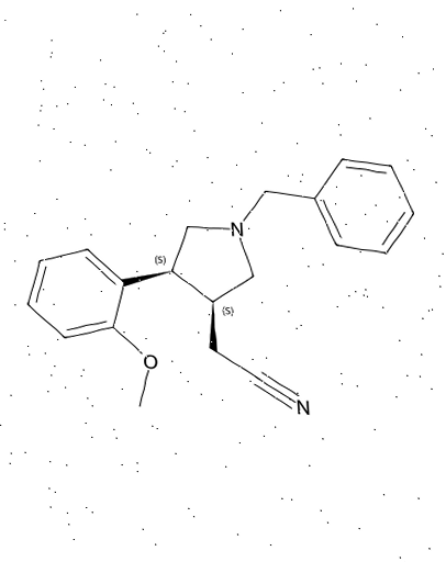 COc1ccccc1[C@H]1CN(Cc2ccccc2)C[C@H]1CC#N